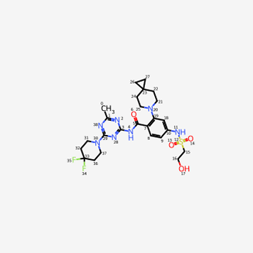 Cc1nc(NC(=O)c2ccc(NS(=O)(=O)CCO)cc2N2CCC3(CC2)CC3)nc(N2CCC(F)(F)CC2)n1